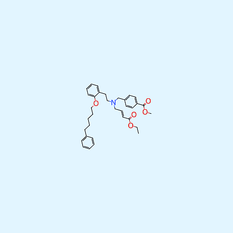 CCOC(=O)/C=C/CN(CCc1ccccc1OCCCCCc1ccccc1)Cc1ccc(C(=O)OC)cc1